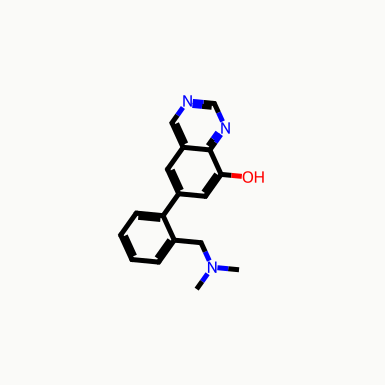 CN(C)Cc1ccccc1-c1cc(O)c2ncncc2c1